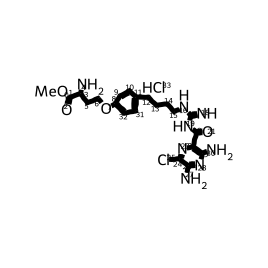 COC(=O)C(N)CCOc1ccc(CCCCNC(=N)NC(=O)c2nc(Cl)c(N)nc2N)cc1.Cl